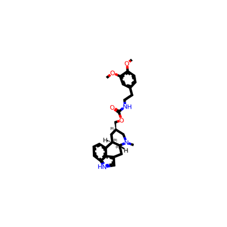 COc1ccc(CCNC(=O)OC[C@@H]2C[C@@H]3c4cccc5[nH]cc(c45)C[C@H]3N(C)C2)cc1OC